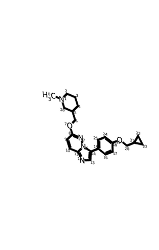 CN1CCCC(COc2ccc3ncc(-c4ccc(OCC5CC5)cc4)n3n2)C1